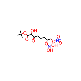 CC(C)(C)OC(=O)C(O)C(=O)CCCC(CO[N+](=O)[O-])ON(O)O